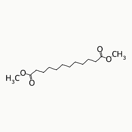 COC(=O)CCCCCCCCCCC(=O)OC